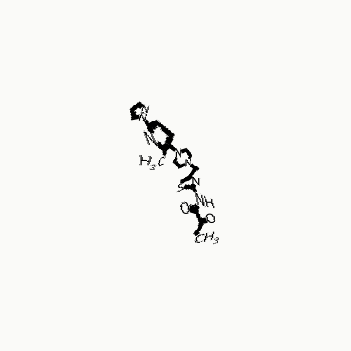 CCC(=O)C(=O)Nc1nc(CN2CCN(c3ccc(-n4cccn4)nc3C)CC2)cs1